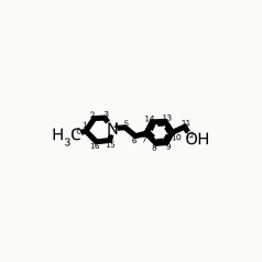 CC1CCN(CCc2ccc(CO)cc2)CC1